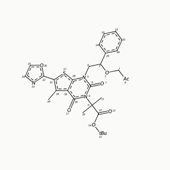 CC(=O)COC(Cn1c(=O)n(C(C)(C)C(=O)OC(C)(C)C)c(=O)c2c(C)c(-c3ncco3)sc21)c1ccccc1